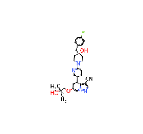 CC(C)(O)COc1cc(-c2ccc(N3CCC(O)(Cc4ccc(F)cc4)CC3)nc2)c2c(C#N)cnn2c1